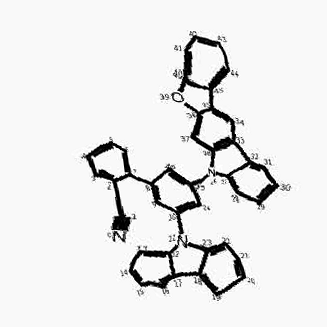 N#Cc1ccccc1-c1cc(-n2c3ccccc3c3ccccc32)cc(-n2c3ccccc3c3cc4c(cc32)oc2ccccc24)c1